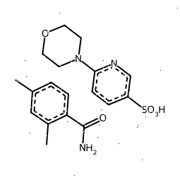 Cc1ccc(C(N)=O)c(C)c1.O=S(=O)(O)c1ccc(N2CCOCC2)nc1